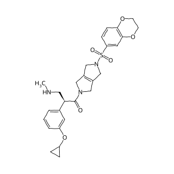 CNC[C@@H](C(=O)N1CC2=C(C1)CN(S(=O)(=O)c1ccc3c(c1)OCCO3)C2)c1cccc(OC2CC2)c1